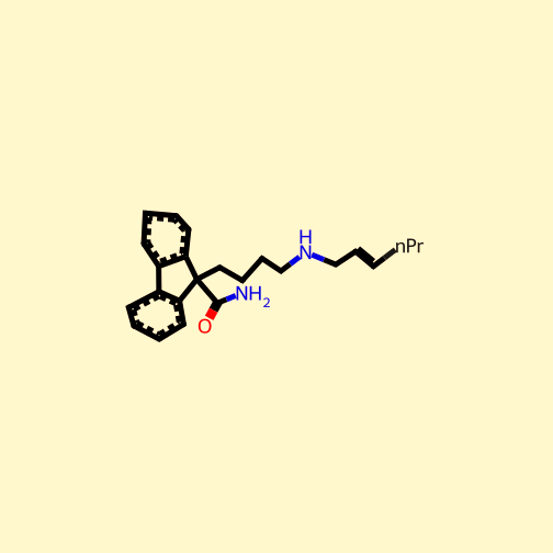 CCCC=CCNCCCCC1(C(N)=O)c2ccccc2-c2ccccc21